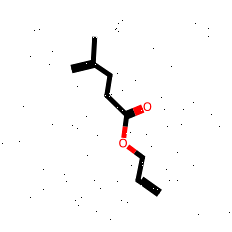 C=CCOC(=O)CCC(=C)C